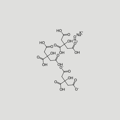 O.O=C(O)CC(O)(CC(=O)O)C(=O)O.O=C(O)CC(O)(CC(=O)O)C(=O)O.O=C([O-])CC(O)(CC(=O)[O-])C(=O)O.[K+].[Na+]